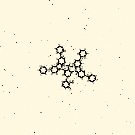 Fc1cccc(-c2cc(-n3c4ccc(-c5ccccc5)cc4c4cc(-c5ccccc5)ccc43)c(C(F)(F)F)c(-n3c4ccc(-c5ccccc5)cc4c4cc(-c5ccccc5)ccc43)c2)c1F